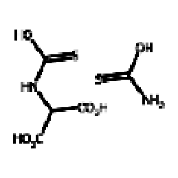 NC(O)=S.O=C(O)C(NC(O)=S)C(=O)O